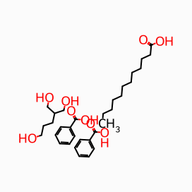 CCCCCCCCCCCC(=O)O.O=C(O)c1ccccc1.O=C(O)c1ccccc1.OCCCC(CO)CO